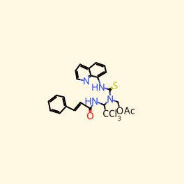 CC(=O)OCN(C(=S)Nc1cccc2cccnc12)C(NC(=O)/C=C/c1ccccc1)C(Cl)(Cl)Cl